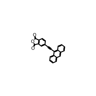 O=C1OC(=O)c2cc(C#Cc3c4ccccc4cc4ccccc34)ccc21